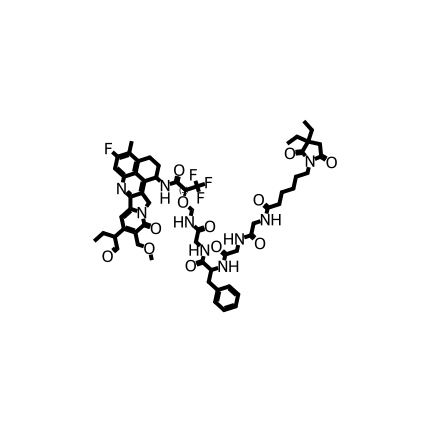 CCC(C=O)c1cc2n(c(=O)c1COC)Cc1c-2nc2cc(F)c(C)c3c2c1C(NC(=O)[C@H](OCNC(=O)CNC(=O)C(Cc1ccccc1)NC(=O)CNC(=O)CNC(=O)CCCCCN1C(=O)CC(CC)(CC)C1=O)C(F)(F)F)CC3